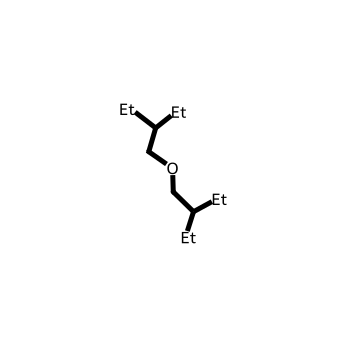 CCC(CC)COCC(CC)CC